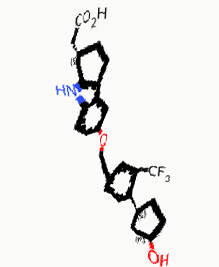 O=C(O)C[C@@H]1CCc2c1[nH]c1ccc(OCc3ccc([C@H]4CC[C@@H](O)C4)c(C(F)(F)F)c3)cc21